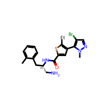 CCc1sc(C(=O)N[C@H](CN)Cc2ccccc2C)cc1-c1c(Br)cnn1C